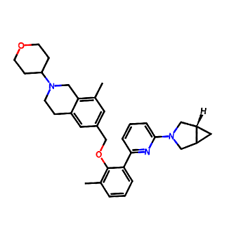 Cc1cc(COc2c(C)cccc2-c2cccc(N3CC4C[C@H]4C3)n2)cc2c1CN(C1CCOCC1)CC2